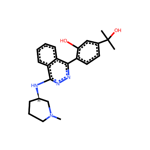 CN1CCC[C@@H](Nc2nnc(-c3ccc(C(C)(C)O)cc3O)c3ccccc23)C1